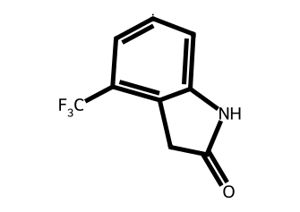 O=C1Cc2c(c[c]cc2C(F)(F)F)N1